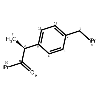 CC(C)Cc1ccc([C@H](C)C(=O)C(C)C)cc1